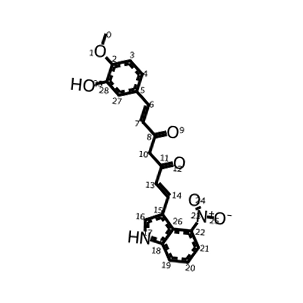 COc1ccc(C=CC(=O)CC(=O)C=Cc2c[nH]c3cccc([N+](=O)[O-])c23)cc1O